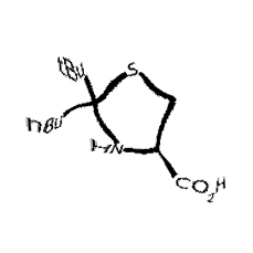 CCCCC1(C(C)(C)C)N[C@H](C(=O)O)CS1